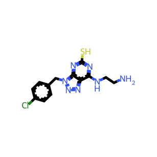 NCCNc1nc(S)nc2c1nnn2Cc1ccc(Cl)cc1